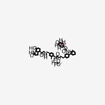 Cc1cc(CNC[C@H](O)c2ccc(O)c3[nH]c(=O)ccc23)ccc1NC(=O)CCCc1ccc(-c2ccccc2)c(NC(=O)O[C@@H]2C[C@@H]3[C@H]4O[C@H]4[C@H](C2)[N+]3(C)C)c1.O=C([O-])C(F)(F)F